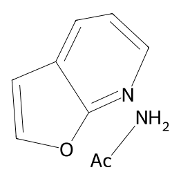 CC(N)=O.c1cnc2occc2c1